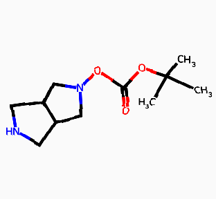 CC(C)(C)OC(=O)ON1CC2CNCC2C1